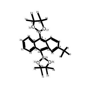 CC(C)(C)c1ccc2c(B3OC(C)(C)C(C)(C)O3)c3ccccc3c(B3OC(C)(C)C(C)(C)O3)c2c1